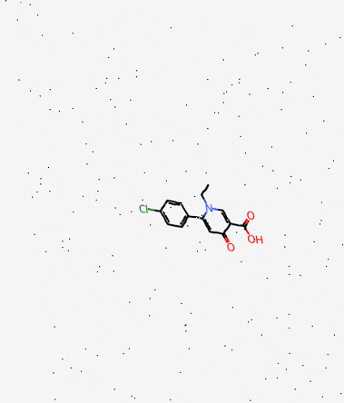 CCn1cc(C(=O)O)c(=O)cc1-c1ccc(Cl)cc1